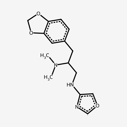 CN(C)C(CNc1co[c]n1)Cc1ccc2c(c1)OCO2